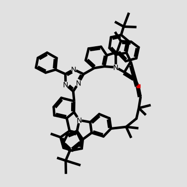 Cc1ccccc1-c1cccc2c1-n1c3ccc(C(C)(C)C)cc3c3cc(ccc31)C(C)(C)CC(C)(C)c1ccc3c(c1)c1cc(C(C)(C)C)ccc1n3-c1c(cccc1-c1ccccc1C)-c1nc(-c3ccccc3)nc-2n1